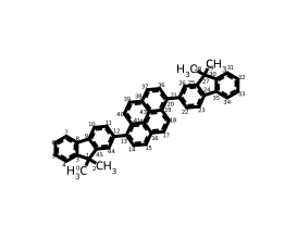 CC1(C)c2ccccc2-c2ccc(-c3ccc4ccc5c(-c6ccc7c(c6)C(C)(C)c6ccccc6-7)ccc6ccc3c4c65)cc21